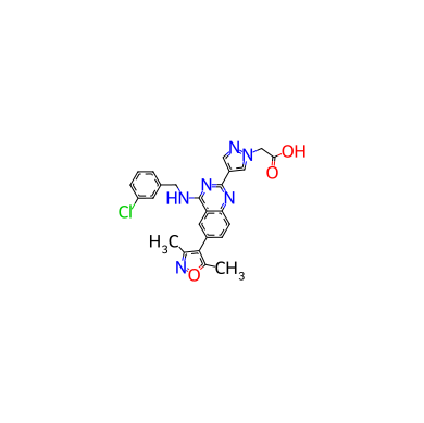 Cc1noc(C)c1-c1ccc2nc(-c3cnn(CC(=O)O)c3)nc(NCc3cccc(Cl)c3)c2c1